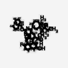 C#Cc1c(F)ccc2cc(O)cc(-c3c(C(C)(C)O)cc4c(N5CCCC(C)(C)C(N(C)C(=O)C=C)C5)nc(OCC56CCCN5CCC6)nc4c3F)c12